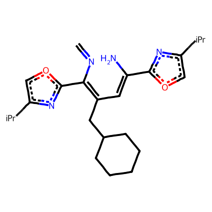 C=N/C(=C(\C=C(/N)c1nc(C(C)C)co1)CC1CCCCC1)c1nc(C(C)C)co1